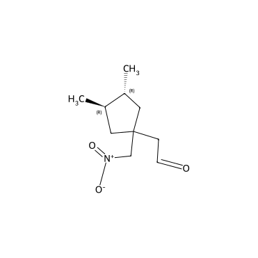 C[C@@H]1CC(CC=O)(C[N+](=O)[O-])C[C@H]1C